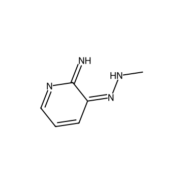 CN/N=C1/C=CC=NC1=N